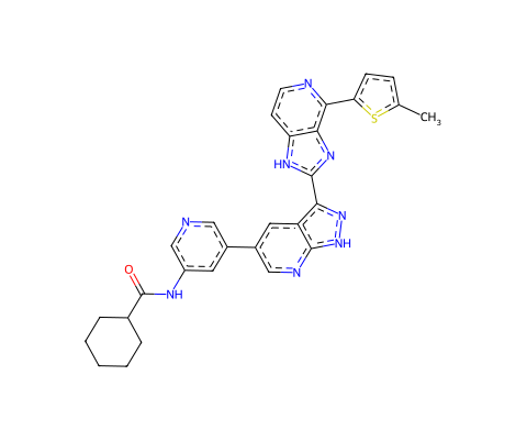 Cc1ccc(-c2nccc3[nH]c(-c4n[nH]c5ncc(-c6cncc(NC(=O)C7CCCCC7)c6)cc45)nc23)s1